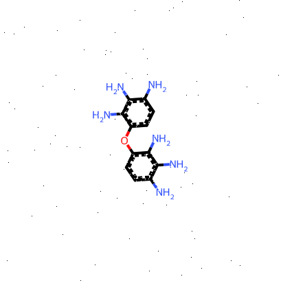 Nc1ccc(Oc2ccc(N)c(N)c2N)c(N)c1N